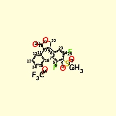 CS(=O)(=O)c1c(F)cc(C2=C(c3cccc(OC(F)(F)F)c3)C(=O)OC2)cc1F